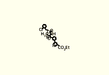 CCOC(=O)Cc1cncc(-c2cccc(-c3onc(C)c3NC(=O)OCCc3ccccc3Cl)c2)c1